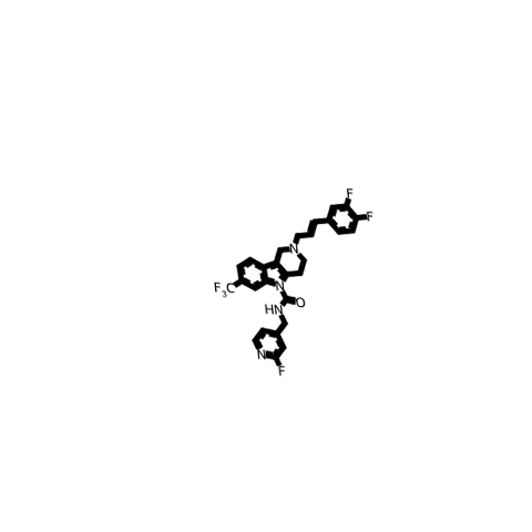 O=C(NCc1ccnc(F)c1)n1c2c(c3ccc(C(F)(F)F)cc31)CN(CC=Cc1ccc(F)c(F)c1)CC2